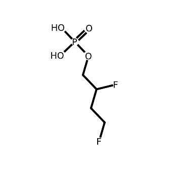 O=P(O)(O)OCC(F)CCF